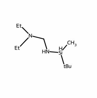 CCN(CC)CN[SiH](C)C(C)(C)C